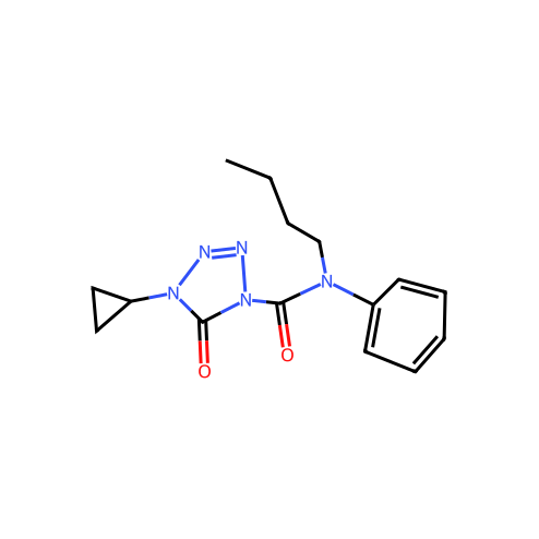 CCCCN(C(=O)n1nnn(C2CC2)c1=O)c1ccccc1